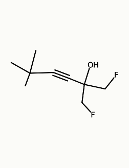 CC(C)(C)C#CC(O)(CF)CF